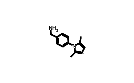 Cc1[c]cc(C)n1-c1ccc(CN)cc1